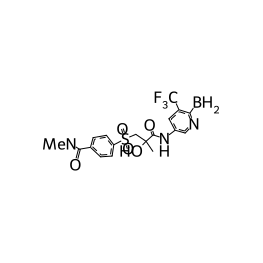 Bc1ncc(NC(=O)C(C)(O)CS(=O)(=O)c2ccc(C(=O)NC)cc2)cc1C(F)(F)F